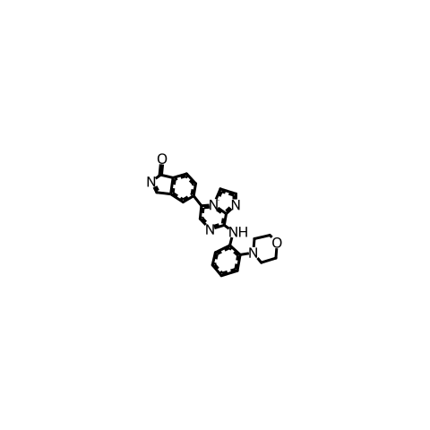 O=C1N=Cc2cc(-c3cnc(Nc4ccccc4N4CCOCC4)c4nccn34)ccc21